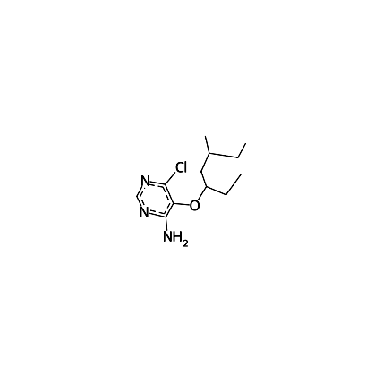 CCC(C)CC(CC)Oc1c(N)ncnc1Cl